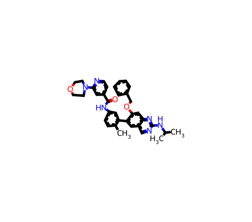 Cc1ccc(NC(=O)c2ccnc(N3CCOCC3)c2)cc1-c1cc2cnc(NC(C)C)nc2cc1OCc1ccccc1